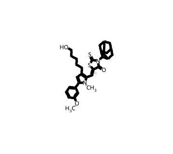 COc1cccc(-c2cc(CCCCCO)c(/C=C3\SC(=S)N(C4C5CC6CC(C5)CC4C6)C3=O)n2C)c1